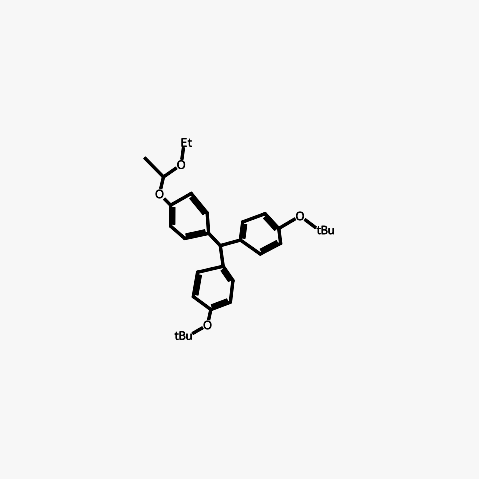 CCOC(C)Oc1ccc(C(c2ccc(OC(C)(C)C)cc2)c2ccc(OC(C)(C)C)cc2)cc1